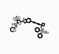 CC(C)(C)[Si](OCC1(C#CC#Cc2ccc3nn(CC[C@](C)(C(=O)NOC4CCCCO4)S(C)(=O)=O)cc3c2)CCC1)(c1ccccc1)c1ccccc1